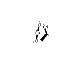 C=CC#N.[Cl][Cu][Cl]